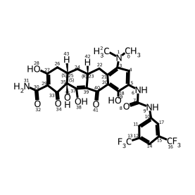 CN(C)c1cc(NC(=O)Nc2cc(C(F)(F)F)cc(C(F)(F)F)c2)c(O)c2c1C[C@H]1C[C@H]3CC(O)=C(C(N)=O)C(=O)[C@@]3(O)C(O)=C1C2=O